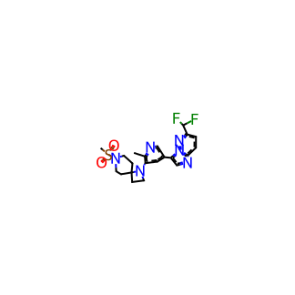 Cc1ncc(-c2cnc3ccc(C(F)F)nn23)cc1N1CCC12CCN(S(C)(=O)=O)CC2